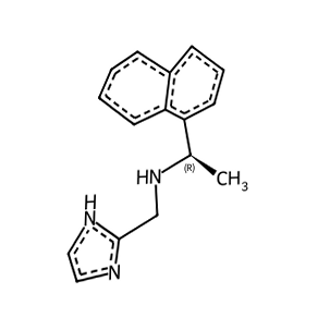 C[C@@H](NCc1ncc[nH]1)c1cccc2ccccc12